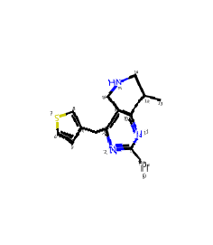 CC(C)c1nc(-c2ccsc2)c2c(n1)C(C)CNC2